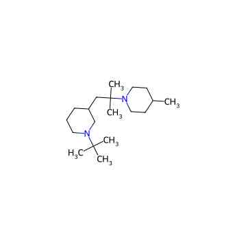 CC1CCN(C(C)(C)CC2CCCN(C(C)(C)C)C2)CC1